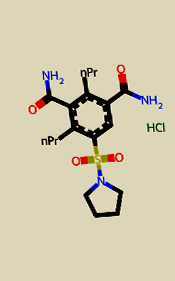 CCCc1c(C(N)=O)cc(S(=O)(=O)N2CCCC2)c(CCC)c1C(N)=O.Cl